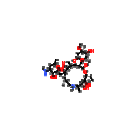 CC[C@H]1OC(=O)[C@H](C)[C@@H](O[C@H]2C[C@@](C)(OC)[C@@H](O)[C@H](C)O2)[C@H](C)[C@@H](O)[C@@](O)(C[C@@H]2O[C@H](C)C[C@H](NC)C2O)C[C@@H](C)CN(C)[C@H](C)[C@@H](O)[C@]1(C)O